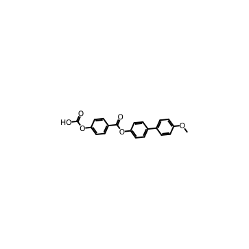 COc1ccc(-c2ccc(OC(=O)c3ccc(OC(=O)O)cc3)cc2)cc1